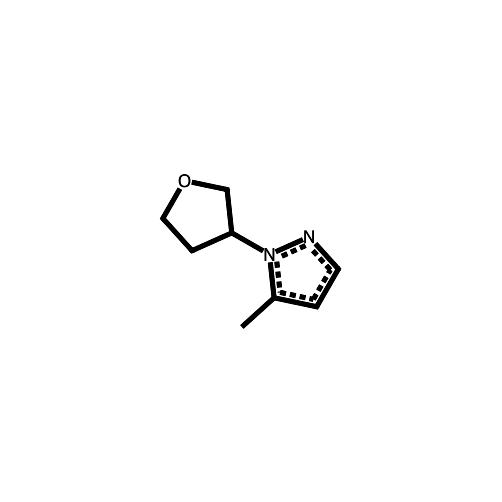 Cc1ccnn1C1CCOC1